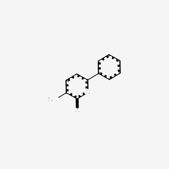 N#Cc1ccc(-c2ccccc2)[nH]c1=O